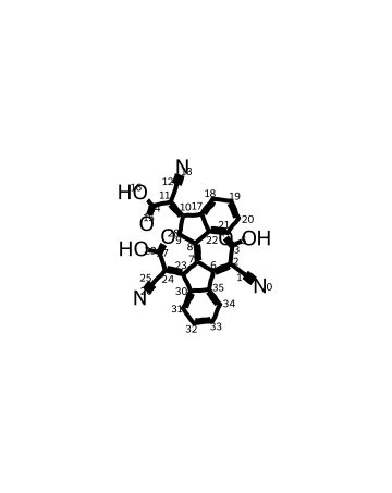 N#CC(C(=O)O)=C1C(=C2C/C(=C(/C#N)C(=O)O)c3ccccc32)C(=C(C#N)C(=O)O)c2ccccc21